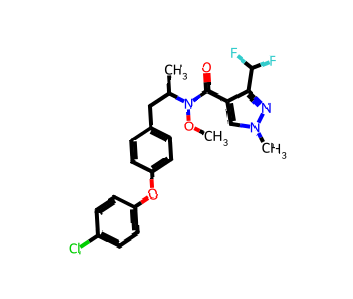 CON(C(=O)c1cn(C)nc1C(F)F)C(C)Cc1ccc(Oc2ccc(Cl)cc2)cc1